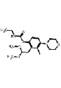 CCNC(=O)Oc1ccc(N2CCOCC2)c(F)c1CC(OC)OC